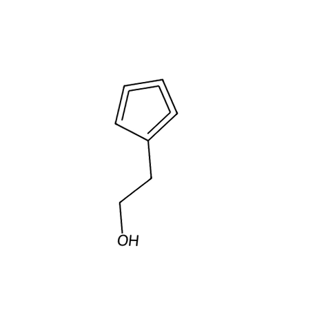 OCCC1=C=C=C=C1